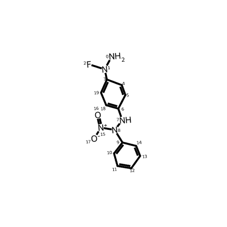 NN(F)c1ccc(NN(c2ccccc2)[N+](=O)[O-])cc1